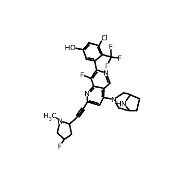 CN1CC(F)CC1C#Cc1cc(N2CC3CCC(C2)N3)c2cnc(-c3cc(O)cc(Cl)c3C(F)(F)F)c(F)c2n1